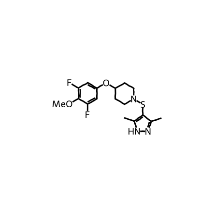 COc1c(F)cc(OC2CCN(Sc3c(C)n[nH]c3C)CC2)cc1F